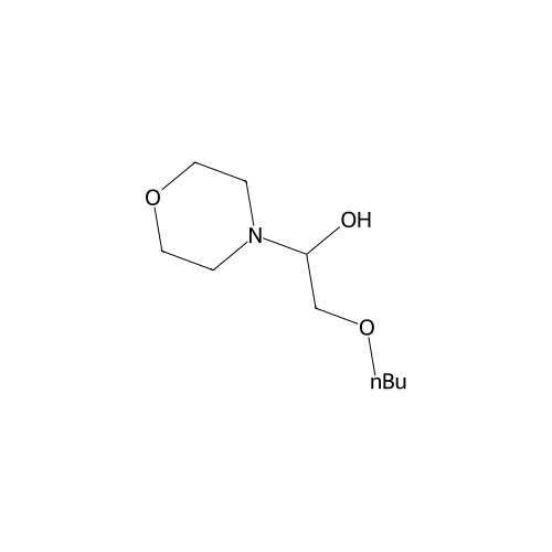 CCCCOCC(O)N1CCOCC1